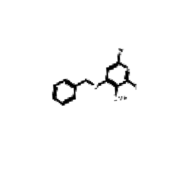 COc1c(OCc2ccccc2)cc(Br)nc1F